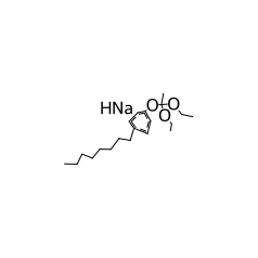 CCCCCCCCc1ccc(OC(C)(OCC)OCC)cc1.[NaH]